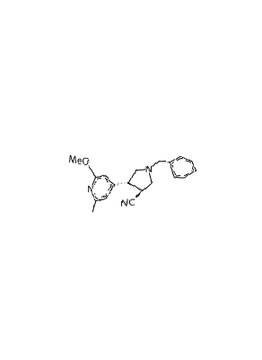 COc1cc([C@@H]2CN(Cc3ccccc3)C[C@H]2C#N)cc(C)n1